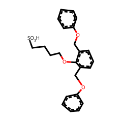 O=S(=O)(O)CCCCOc1c(COc2ccccc2)cccc1COc1ccccc1